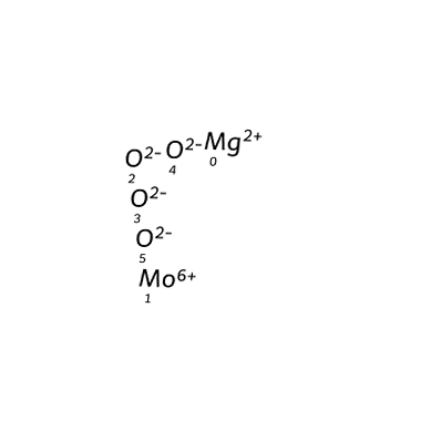 [Mg+2].[Mo+6].[O-2].[O-2].[O-2].[O-2]